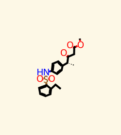 CCc1ccccc1S(=O)(=O)Nc1ccc([C@@H](C)C(=O)CC(=O)OC)cc1